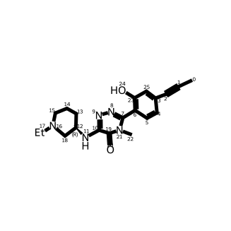 CC#Cc1ccc(-c2nnc(N[C@@H]3CCCN(CC)C3)c(=O)n2C)c(O)c1